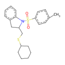 Cc1ccc(S(=O)(=O)N2c3ccccc3CC2CSC2CCCCC2)cc1